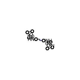 O=C(Nc1ccc(/C=C/c2ccc(NC(=O)[C@@H]3CCCN3C(=O)c3ncccc3-c3ccccc3)cc2)cc1)[C@@H]1CCCN1C(=O)c1ccccc1-c1ccccc1